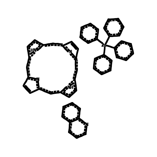 C1=Cc2cc3ccc(cc4nc(cc5ccc(cc1n2)[nH]5)C=C4)[nH]3.c1cc[c]([Zn]([c]2ccccc2)([c]2ccccc2)[c]2ccccc2)cc1.c1ccc2ncccc2c1